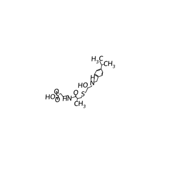 CCC(C)c1ccc(CNCC(O)CSCC(C)C(=O)NCCCS(=O)(=O)O)cc1